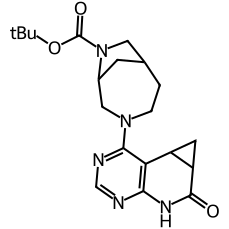 CC(C)(C)OC(=O)N1CC2CCN(c3ncnc4c3C3CC3C(=O)N4)CC1C2